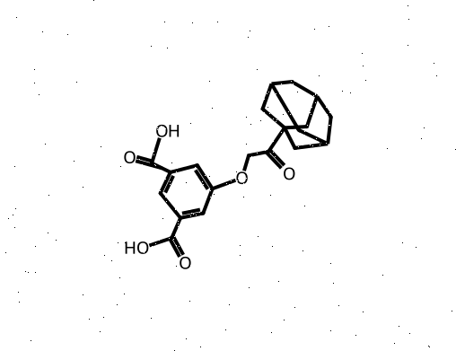 O=C(O)c1cc(OCC(=O)C23CC4CC(CC(C4)C2)C3)cc(C(=O)O)c1